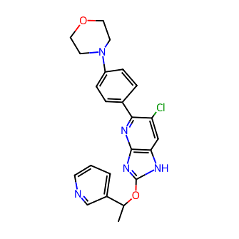 CC(Oc1nc2nc(-c3ccc(N4CCOCC4)cc3)c(Cl)cc2[nH]1)c1cccnc1